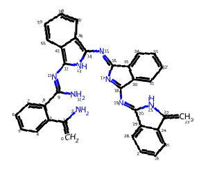 C=C(N)c1ccccc1/C(N)=N/c1[nH]c(/N=C2N=C(/N=C3\NC(=C)c4ccccc43)c3ccccc3\2)c2ccccc12